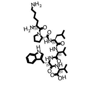 CC(C)C[C@H](NC(=O)[C@@H]1CCCN1C(=O)[C@@H](N)CCCCN)C(=O)N[C@H](C(=O)N[C@@H](Cc1c[nH]c2ccccc12)C(=O)N[C@H](C(=O)O)C(C)C)C(C)C